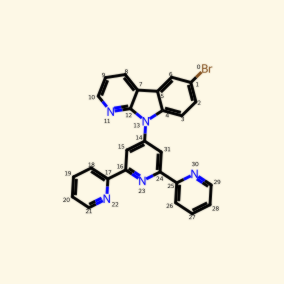 Brc1ccc2c(c1)c1cccnc1n2-c1cc(-c2ccccn2)nc(-c2ccccn2)c1